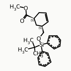 COC(=O)[C@H]1CC=C[C@@H](CO[Si](c2ccccc2)(c2ccccc2)C(C)(C)C)C1